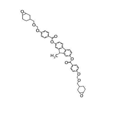 CC1c2cc(OC(=O)c3ccc(OCOCC4CCC5OC5C4)cc3)ccc2-c2ccc(OC(=O)c3ccc(OCOCC4CCC5OC5C4)cc3)cc21